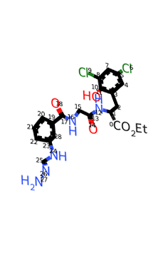 CCOC(=O)C(Cc1cc(Cl)cc(Cl)c1O)NC(=O)CNC(=O)c1cccc(NC=NN)c1